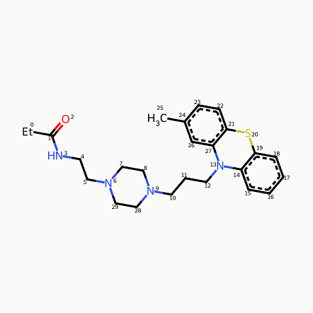 CCC(=O)NCCN1CCN(CCCN2c3ccccc3Sc3ccc(C)cc32)CC1